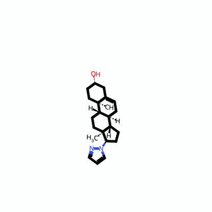 C[C@]12CC[C@H]3[C@@H](CC=C4C[C@@H](O)CC[C@@]43C)[C@@H]1CC[C@H]2n1cccn1